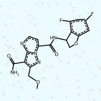 COCc1nn2c(C(=O)NC3COc4cc(F)cc(F)c43)ccnc2c1C(N)=O